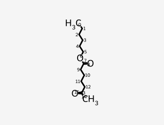 CCCCCCOC(=O)CCCCC(C)=O